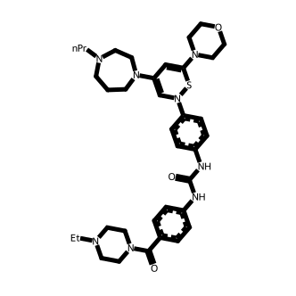 CCCN1CCCN(C2=CN(c3ccc(NC(=O)Nc4ccc(C(=O)N5CCN(CC)CC5)cc4)cc3)SC(N3CCOCC3)=C2)CC1